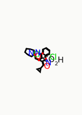 O=C(O)c1ccc(N2C3CCC2CC(OCc2c(-c4c(Cl)cccc4Cl)noc2C2CC2)C3)nc1